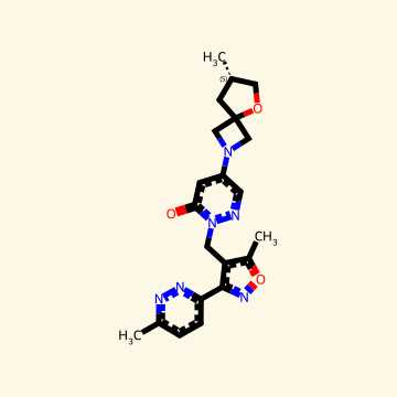 Cc1ccc(-c2noc(C)c2Cn2ncc(N3CC4(C[C@H](C)CO4)C3)cc2=O)nn1